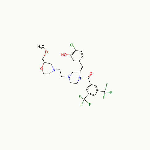 COC[C@H]1CN(CCN2CCN(C(=O)c3cc(C(F)(F)F)cc(C(F)(F)F)c3)[C@H](Cc3ccc(Cl)c(O)c3)C2)CCO1